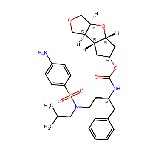 CC(C)CN(CC[C@H](Cc1ccccc1)NC(=O)O[C@@H]1C[C@@H]2[C@H]3COC[C@H]3O[C@@H]2C1)S(=O)(=O)c1ccc(N)cc1